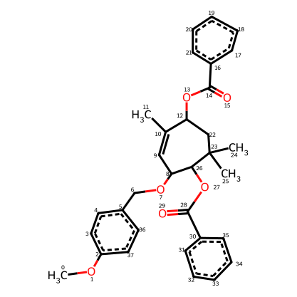 COc1ccc(COC2C=C(C)C(OC(=O)c3ccccc3)CC(C)(C)C2OC(=O)c2ccccc2)cc1